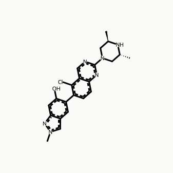 C[C@@H]1CN(c2ncc3c(Cl)c(-c4cc5cn(C)nc5cc4O)ccc3n2)C[C@@H](C)N1